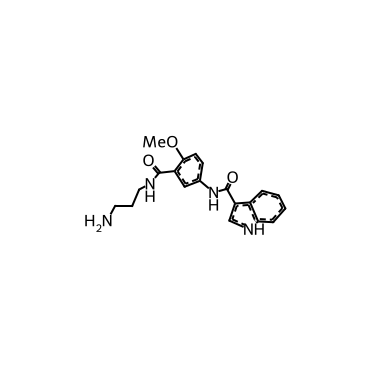 COc1ccc(NC(=O)c2c[nH]c3ccccc23)cc1C(=O)NCCCN